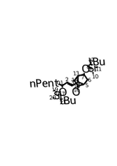 CCCCCC(C=CC1C2CC(O[Si](C)(C)C(C)(C)C)C1CC2=O)O[Si](C)(C)C(C)(C)C